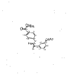 COC(=O)c1ccc(CN[C@H](C)c2cccc(OC)c2)cc1